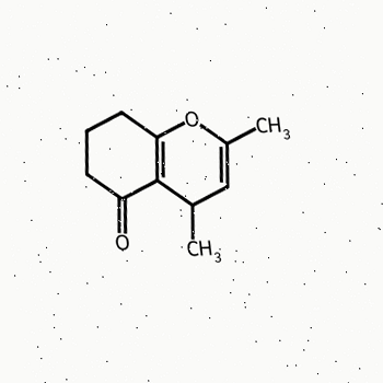 CC1=CC(C)C2=C(CCCC2=O)O1